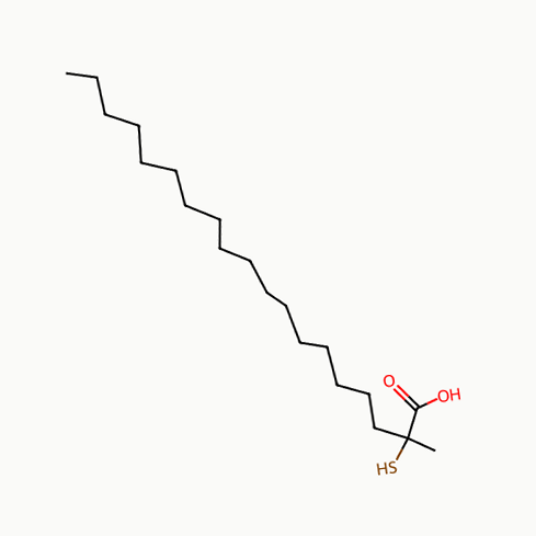 CCCCCCCCCCCCCCCCCC(C)(S)C(=O)O